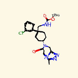 Cc1nnc2n1CC(=O)N([C@H]1CC[C@@](CNC(=O)OC(C)(C)C)(c3cccc(Cl)c3)CC1)C2